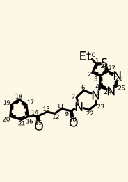 CCc1cc2c(N3CCN(C(=O)CCCC(=O)c4ccccc4)CC3)ncnc2s1